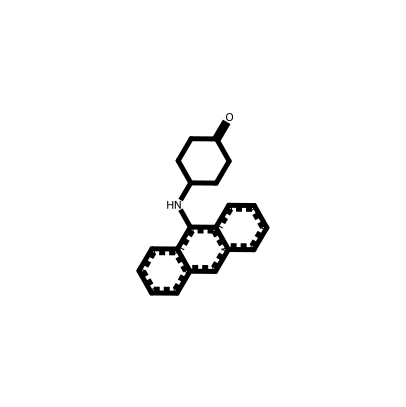 O=C1CCC(Nc2c3ccccc3cc3ccccc23)CC1